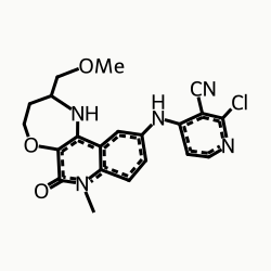 COCC1CCOc2c(c3cc(Nc4ccnc(Cl)c4C#N)ccc3n(C)c2=O)N1